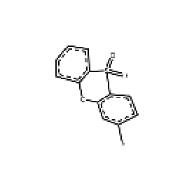 O=S1(=O)c2ccccc2Oc2cc(F)ccc21